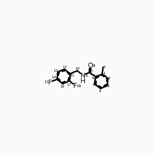 Cc1ccccc1C(=O)NCc1ccc(F)cc1F